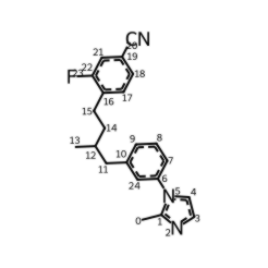 Cc1nccn1-c1cccc(CC(C)CCc2ccc(C#N)cc2F)c1